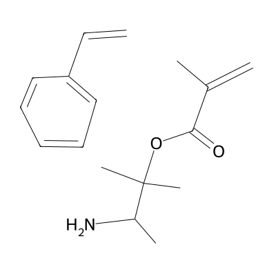 C=C(C)C(=O)OC(C)(C)C(C)N.C=Cc1ccccc1